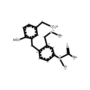 COc1ccc(CC(=O)O)cc1Cc1ccc(N(C(=O)C(C)(C)C)C(C)C)cc1CSC(C)(C)C